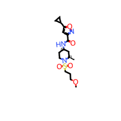 COCCCS(=O)(=O)N1CC[C@@H](NC(=O)c2cc(C3CC3)on2)C[C@H]1C